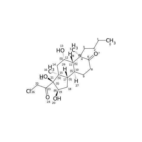 CCCC[C@@]1(C)C(=O)CC[C@@H]2[C@@H]1[C@@H](O)C[C@@]1(C)[C@H]2C[C@@H](O)[C@]1(O)C(=O)CCl